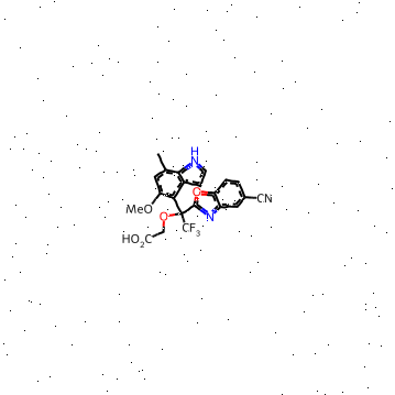 COc1cc(C)c2[nH]ccc2c1C(OCC(=O)O)(c1nc2cc(C#N)ccc2o1)C(F)(F)F